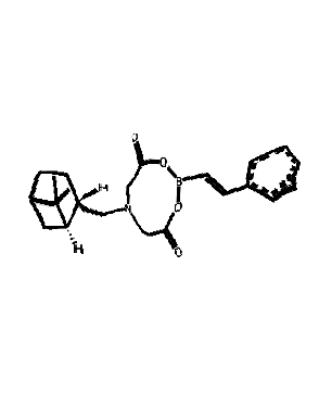 CC1(C)C2CC[C@H](CN3CC(=O)OB(/C=C/c4ccccc4)OC(=O)C3)[C@H]1C2